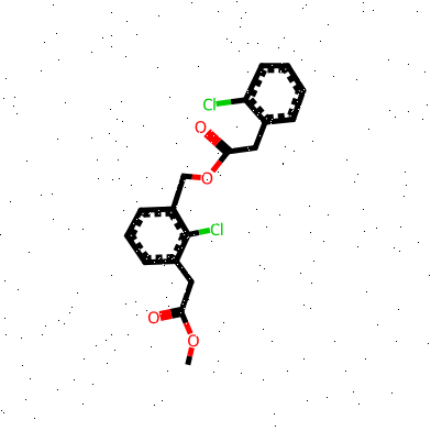 COC(=O)Cc1cccc(COC(=O)Cc2ccccc2Cl)c1Cl